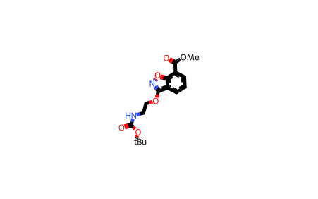 COC(=O)c1cccc2c(OCCNC(=O)OC(C)(C)C)noc12